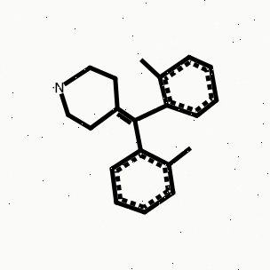 Cc1ccccc1C(=C1CC[N]CC1)c1ccccc1C